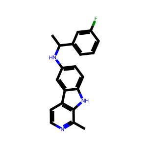 Cc1nccc2c1[nH]c1ccc(NC(C)c3cccc(F)c3)cc12